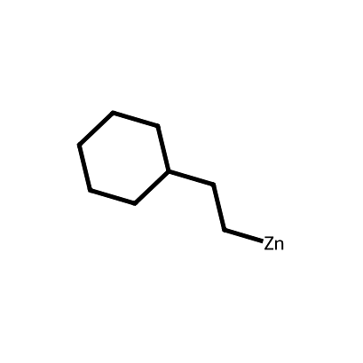 [Zn][CH2]CC1CCCCC1